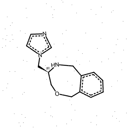 c1ccc2c(c1)CN[C@H](Cn1ccnc1)COC2